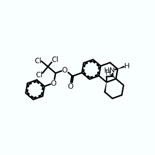 O=C(OC(Oc1ccccc1)C(Cl)(Cl)Cl)c1ccc2c(c1)[C@@]13CCCC[C@H]1[C@@H](C2)NCC3